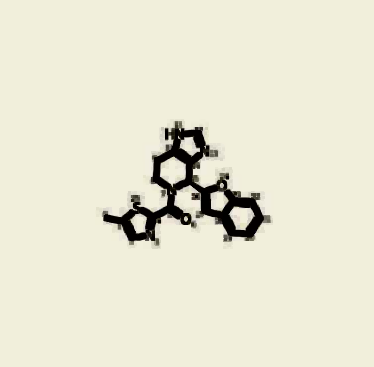 Cc1cnc(C(=O)N2CCc3[nH]cnc3[C@H]2c2cc3ccccc3o2)s1